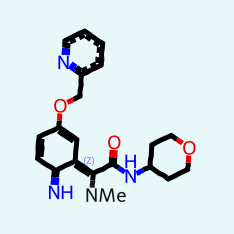 CN/C(C(=O)NC1CCOCC1)=C1/C=C(OCc2ccccn2)C=CC1=N